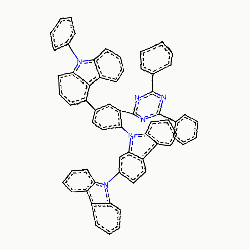 c1ccc(-c2nc(-c3ccccc3)nc(-c3cc(-c4cccc5c4c4ccccc4n5-c4ccccc4)ccc3-n3c4ccccc4c4ccc(-n5c6ccccc6c6ccccc65)cc43)n2)cc1